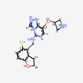 Fc1ccc2c(c1CNc1ncc(OC3CNC3)c3nncn13)CCO2